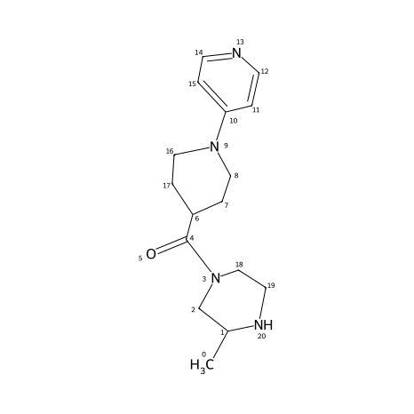 CC1CN(C(=O)C2CCN(c3ccncc3)CC2)CCN1